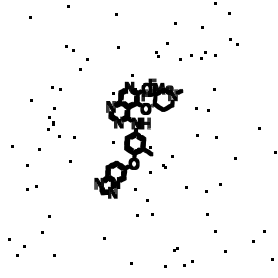 COc1ncc2ncnc(Nc3ccc(Oc4ccc5ncnn5c4)c(C)c3)c2c1O[C@H]1CCN(C)CC1(F)F